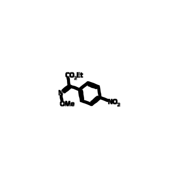 CCOC(=O)/C(=N/OC)c1ccc([N+](=O)[O-])cc1